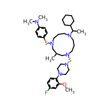 COc1cc(F)ccc1N1CCN(SN2CCCN(C(C)C3CCCCC3)CCCN(Sc3ccc(N(C)C)cc3)CC(C)C2)CC1